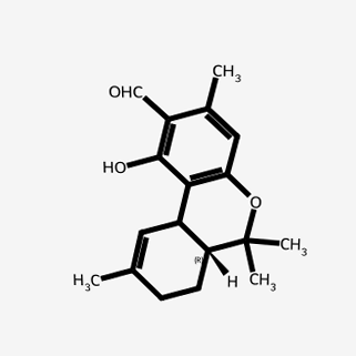 CC1=CC2c3c(cc(C)c(C=O)c3O)OC(C)(C)[C@@H]2CC1